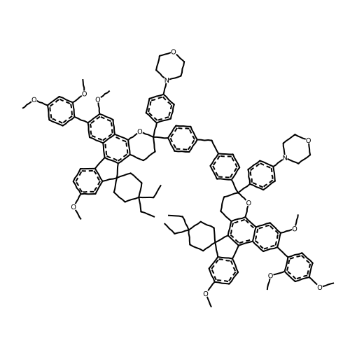 CCC1(CC)CCC2(CC1)c1cc(OC)ccc1-c1c2c2c(c3cc(OC)c(-c4ccc(OC)cc4OC)cc13)OC(c1ccc(Cc3ccc(C4(c5ccc(N6CCOCC6)cc5)CCc5c6c(c7cc(-c8ccc(OC)cc8OC)c(OC)cc7c5O4)-c4ccc(OC)cc4C64CCC(CC)(CC)CC4)cc3)cc1)(c1ccc(N3CCOCC3)cc1)CC2